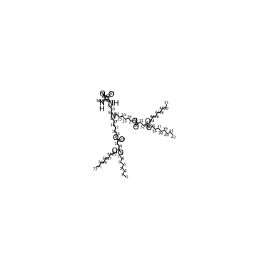 CCCCCCCCOC(CCC(=O)OCCCCCCN(CCCCCCOC(=O)CCC(OCCCCCCCC)OCCCCCCCC)CCCNc1c(NC)c(=O)c1=O)OCCCCCCCC